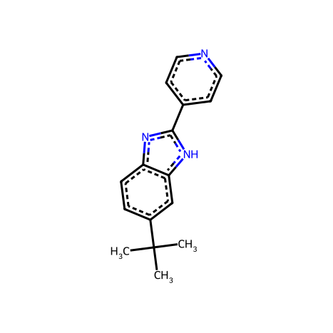 CC(C)(C)c1ccc2nc(-c3ccncc3)[nH]c2c1